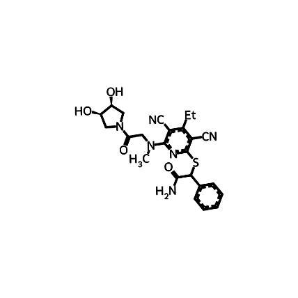 CCc1c(C#N)c(SC(C(N)=O)c2ccccc2)nc(N(C)CC(=O)N2C[C@@H](O)[C@@H](O)C2)c1C#N